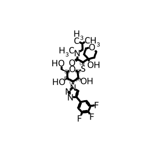 CC(C)CN(C)C(=O)[C@@H](S[C@@H]1O[C@H](CO)[C@H](O)[C@H](n2cc(-c3cc(F)c(F)c(F)c3)nn2)[C@H]1O)C1(O)CCOCC1